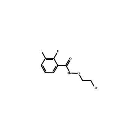 O=C(NOCCO)c1cccc(F)c1F